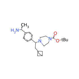 C[C@H](N)c1ccc(C(CC23CC(C2)C3)N2CCN(C(=O)OC(C)(C)C)CC2)cc1